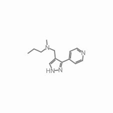 CCCN(C)Cc1c[nH]nc1-c1ccncc1